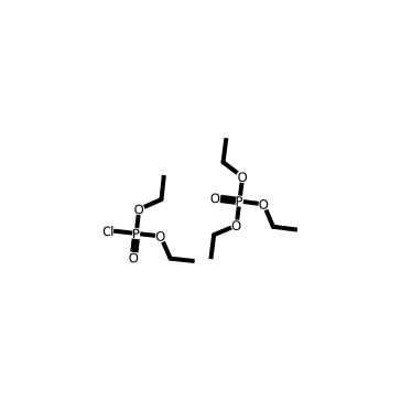 CCOP(=O)(Cl)OCC.CCOP(=O)(OCC)OCC